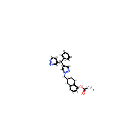 CC(=O)Oc1cccc2c1CCC(Cn1cc(C(c3ccccc3)c3ccnnc3)cn1)C2